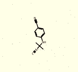 [C-]#[N+]C(C)(C)Nc1ccc(C#N)cc1